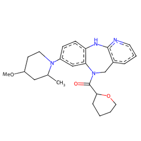 COC1CCN(c2ccc3c(c2)N(C(=O)C2CCCCO2)Cc2cccnc2N3)C(C)C1